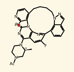 CC(=O)N1CCN(c2nc(=O)n3c4nc(c(F)cc24)-c2cccc4cnn(c24)CCCCc2ccnc(C(C)C)c2-3)[C@@H](C)C1